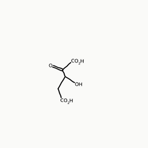 O=C(O)CC(O)C(=O)C(=O)O